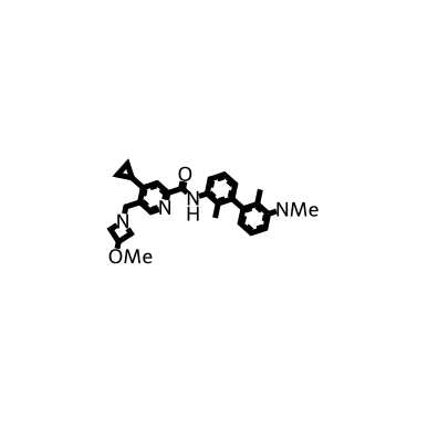 CNc1cccc(-c2cccc(NC(=O)c3cc(C4CC4)c(CN4CC(OC)C4)cn3)c2C)c1C